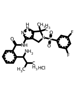 CC(C)C(N)c1ccccc1C(=O)Nc1n[nH]c2c1CN(S(=O)(=O)c1cc(F)cc(F)c1)C2(C)C.Cl